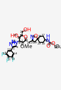 CO[C@@H]1[C@@H](n2cc(-c3cc(F)c(F)c(F)c3)nn2)[C@@H](O)[C@@H](CO)O[C@@H]1CC1=NOC2(CCC(NC(=O)OC(C)(C)C)CC2)C1